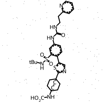 CC(C)(C)NS(=O)(=O)c1cc(NC(=O)NCCc2ccccn2)ccc1-c1cnc(C23CCC(NC(=O)O)(CC2)CC3)s1